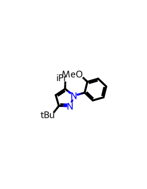 COc1ccccc1-n1nc(C(C)(C)C)cc1C(C)C